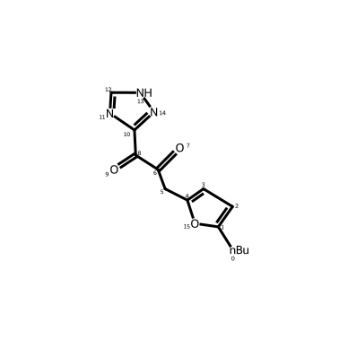 CCCCc1ccc(CC(=O)C(=O)c2nc[nH]n2)o1